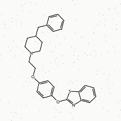 c1ccc(CC2CCN(CCOc3ccc(Oc4nc5ccccc5s4)cc3)CC2)cc1